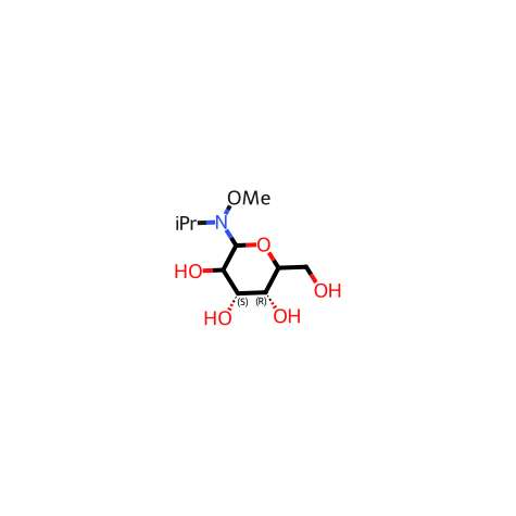 CON(C(C)C)C1OC(CO)[C@H](O)[C@H](O)C1O